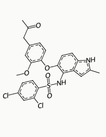 COc1cc(CC(C)=O)ccc1Oc1ccc2[nH]c(C)cc2c1NS(=O)(=O)c1ccc(Cl)cc1Cl